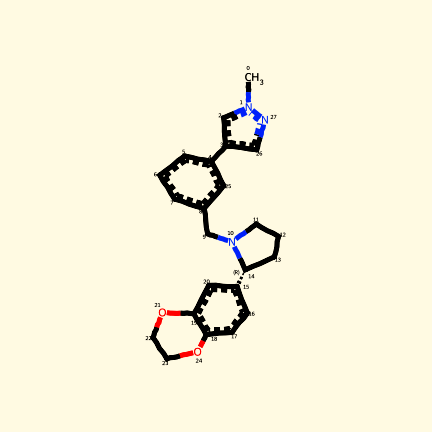 Cn1cc(-c2cccc(CN3CCC[C@@H]3c3ccc4c(c3)OCCO4)c2)cn1